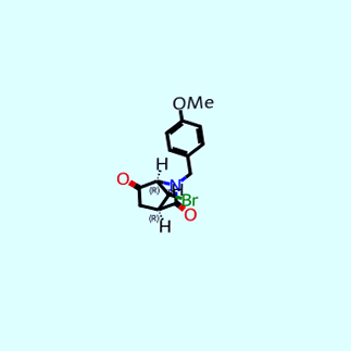 COc1ccc(CN2C(=O)[C@H]3CC(=O)[C@@H]2[C@@H]3Br)cc1